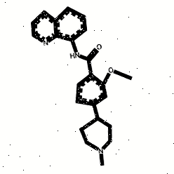 COc1cc(C2CCN(C)CC2)ccc1C(=O)Nc1cccc2cccnc12